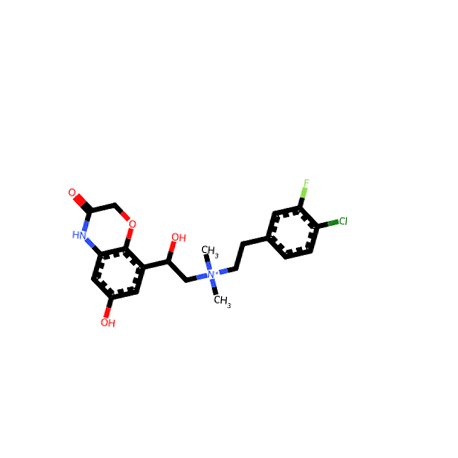 C[N+](C)(CCc1ccc(Cl)c(F)c1)CC(O)c1cc(O)cc2c1OCC(=O)N2